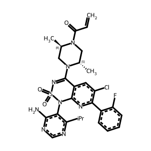 C=CC(=O)N1C[C@H](C)N(C2=NS(=O)(=O)N(c3c(N)ncnc3C(C)C)c3nc(-c4ccccc4F)c(Cl)cc32)C[C@H]1C